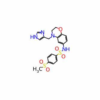 CS(=O)(=O)c1ccc(S(=O)(=O)Nc2ccc3c(c2)N(Cc2c[nH]cn2)CCO3)cc1